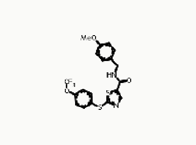 COc1ccc(CNC(=O)c2cnc(Sc3ccc(OC(F)(F)F)cc3)s2)cc1